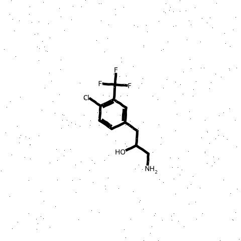 NCC(O)Cc1ccc(Cl)c(C(F)(F)F)c1